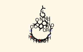 C/C1=C/C=C/[C@H](C)[C@H](O)[C@@H](C)[C@@H](O)[C@@H](C)[C@H](C)[C@H](C)[C@@H](C)/C=C/O[C@@]2(C)Oc3c(C)c(O)c4c(c3C2=O)C2=NC3(CCN(CC(C)C)CC3)NC2=C(NC1=O)C4=O